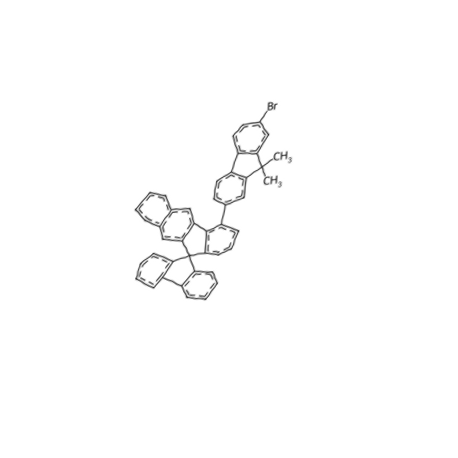 CC1(C)c2cc(Br)ccc2-c2ccc(-c3cccc4c3-c3cc5ccccc5cc3C43c4ccccc4-c4ccccc43)cc21